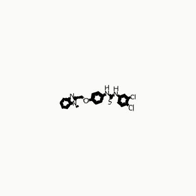 Cn1c(COc2ccc(NC(=S)Nc3ccc(Cl)c(Cl)c3)cc2)nc2ccccc21